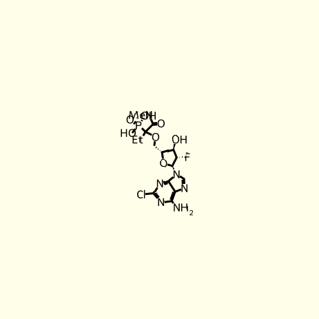 CCC(OC[C@H]1O[C@@H](n2cnc3c(N)nc(Cl)nc32)[C@@H](F)[C@@H]1O)(C(=O)NC)P(=O)(O)O